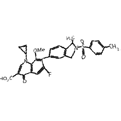 COc1c(-c2ccc3c(c2)CN(S(=O)(=O)c2ccc(C)cc2)C3C)c(F)cc2c(=O)c(C(=O)O)cn(C3CC3)c12